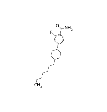 CCCCCCCC1CCC(c2ccc(C(N)=O)c(F)c2)CC1